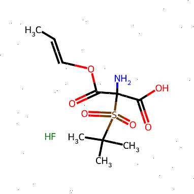 CC=COC(=O)C(N)(C(=O)O)S(=O)(=O)C(C)(C)C.F